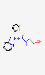 OCCNC(=S)NC(Cc1ccccn1)c1cccs1